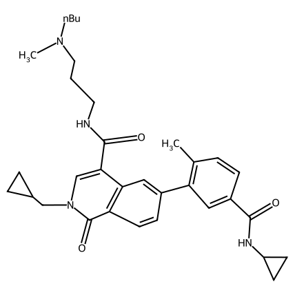 CCCCN(C)CCCNC(=O)c1cn(CC2CC2)c(=O)c2ccc(-c3cc(C(=O)NC4CC4)ccc3C)cc12